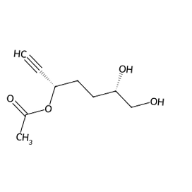 C#C[C@H](CC[C@H](O)CO)OC(C)=O